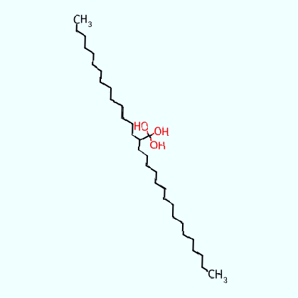 CCCCCCCCCCCCCCCCC(CCCCCCCCCCCCCC)C(O)(O)O